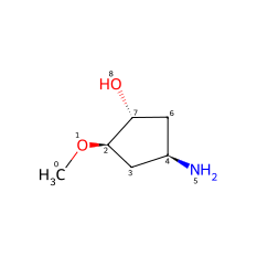 CO[C@@H]1C[C@H](N)C[C@H]1O